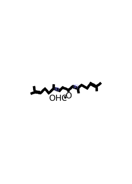 CC(C)=CCC/C(C)=C/CC(/C=C(\C)CCC=C(C)C)OC=O